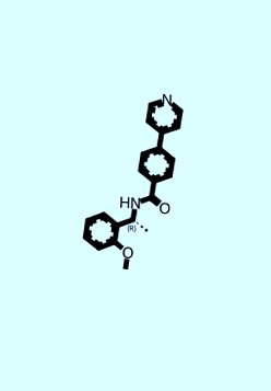 COc1ccccc1[C@@H](C)NC(=O)c1ccc(-c2ccncc2)cc1